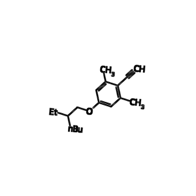 C#Cc1c(C)cc(OCC(CC)CCCC)cc1C